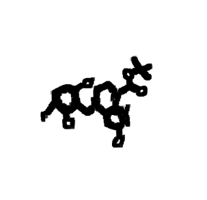 CC(C)(C)OC(=O)N1CCN(Cc2c(Cl)ccc(F)c2Cl)c2cc(Cl)nnc21